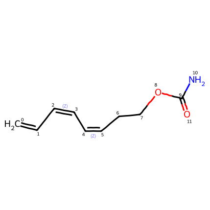 C=C/C=C\C=C/CCOC(N)=O